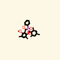 COc1c(C)cc(C)c(OC)c1C(=O)P(=O)(C(=O)c1c(C)cc(C)cc1C)c1ccccc1